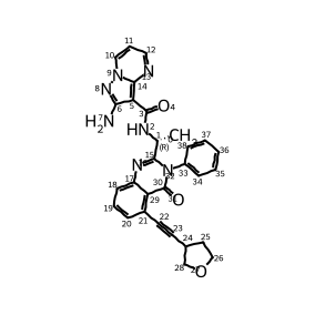 C[C@@H](NC(=O)c1c(N)nn2cccnc12)c1nc2cccc(C#CC3CCOC3)c2c(=O)n1-c1ccccc1